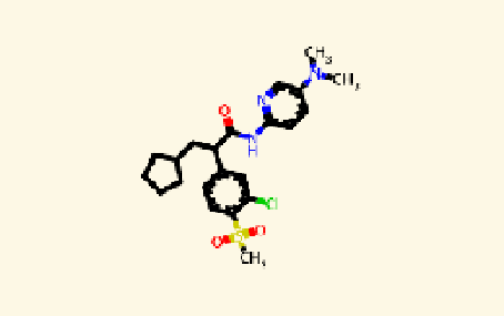 CN(C)c1ccc(NC(=O)C(CC2CCCC2)c2ccc(S(C)(=O)=O)c(Cl)c2)nc1